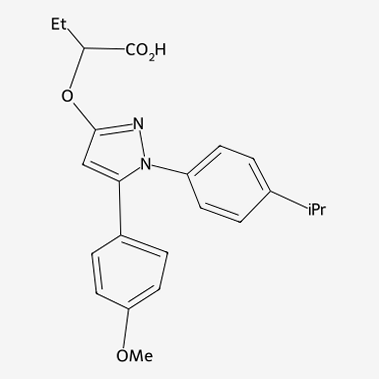 CCC(Oc1cc(-c2ccc(OC)cc2)n(-c2ccc(C(C)C)cc2)n1)C(=O)O